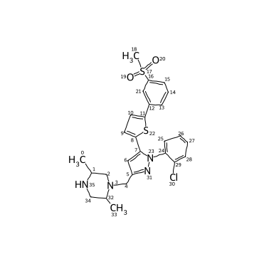 CC1CN(Cc2cc(-c3ccc(-c4cccc(S(C)(=O)=O)c4)s3)n(-c3ccccc3Cl)n2)C(C)CN1